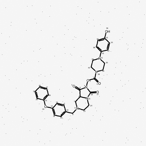 O=C(ON1C(=O)C2CN(Cc3ccc(Oc4ccccc4)cc3)CCN2C1=O)N1CCN(c2ccc(O)cc2)CC1